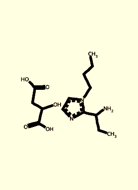 CCCCn1ccnc1C(N)CC.O=C(O)CC(O)C(=O)O